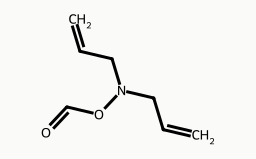 C=CCN(CC=C)OC=O